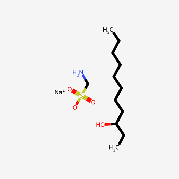 CCCCCCCCC(O)CC.NCS(=O)(=O)[O-].[Na+]